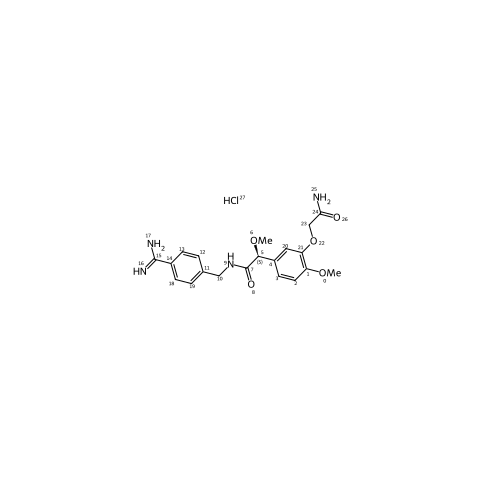 COc1ccc([C@H](OC)C(=O)NCc2ccc(C(=N)N)cc2)cc1OCC(N)=O.Cl